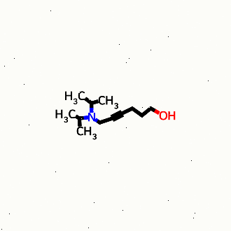 CC(C)N(CC#CCCCO)C(C)C